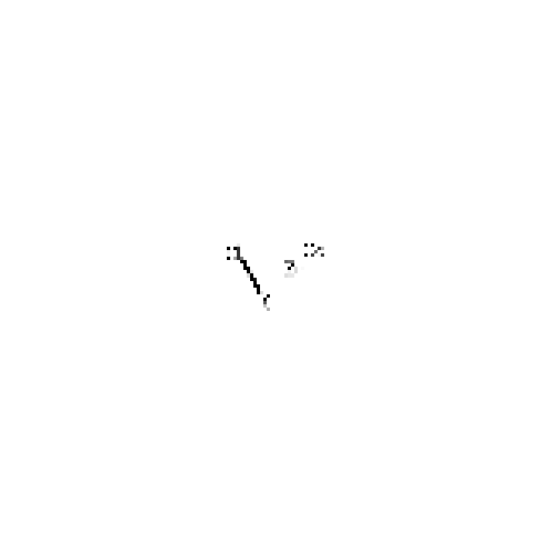 [Cd].[Cl][K].[Zn]